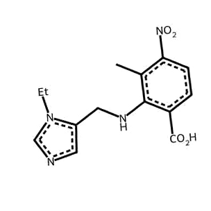 CCn1cncc1CNc1c(C(=O)O)ccc([N+](=O)[O-])c1C